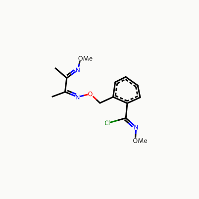 CON=C(C)C(C)=NOCc1ccccc1C(Cl)=NOC